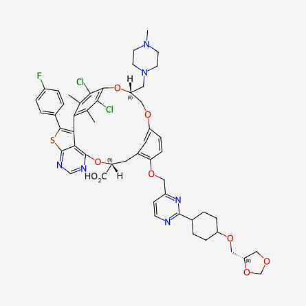 Cc1c(Cl)c2c(Cl)c(C)c1-c1c(-c3ccc(F)cc3)sc3ncnc(c13)O[C@@H](C(=O)O)Cc1cc(ccc1OCc1ccnc(C3CCC(OC[C@@H]4COCO4)CC3)n1)OC[C@@H](CN1CCN(C)CC1)O2